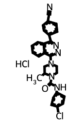 CC1CN(c2nnc(-c3ccc(C#N)cc3)c3ccccc23)CCN1C(=O)Nc1ccc(Cl)cc1.Cl